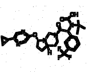 CC(C)(C)N(C(=O)O)C(C(=O)N1CC[C@@H]2CC[C@H](Oc3cnc(C4CC4)cn3)N2C1)c1cccc(C(F)(F)F)c1